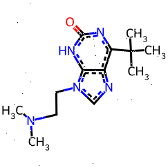 CN(C)CCn1cnc2c(C(C)(C)C)nc(=O)[nH]c21